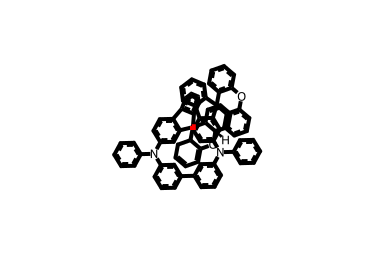 C1=CCC2C(=C1)O[C@H]1C=CC=CC1C21c2ccccc2-c2ccc(N(c3ccccc3)c3cccc(-c4cccc(N(c5ccccc5)c5ccc6c(c5)C5(c7ccccc7Oc7ccccc75)c5ccccc5-6)c4)c3)cc21